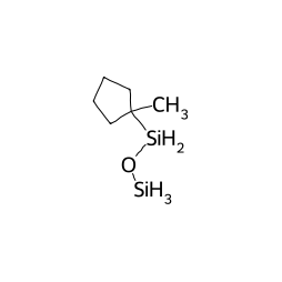 CC1([SiH2]O[SiH3])CCCC1